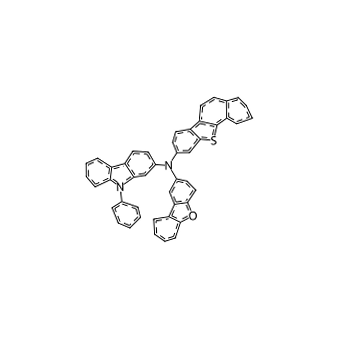 c1ccc(-n2c3ccccc3c3ccc(N(c4ccc5c(c4)sc4c6ccccc6ccc54)c4ccc5oc6ccccc6c5c4)cc32)cc1